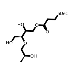 CCCCCCCCCCCCC(=O)OCC(O)[C@H](CO)OC[C@H](C)O